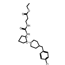 CCOC(=O)CCNC(=O)N[C@@H]1CCC[C@H]1N1CCC(Cc2ccc(Cl)cc2)CC1